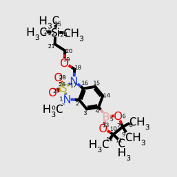 CN1c2cc(B3OC(C)(C)C(C)(C)O3)ccc2N(COCC[Si](C)(C)C)S1(=O)=O